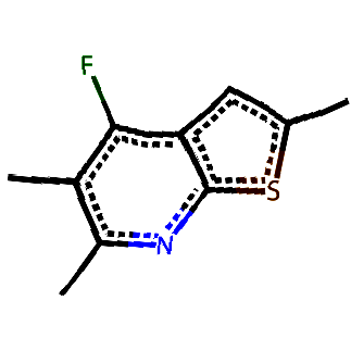 Cc1cc2c(F)c(C)c(C)nc2s1